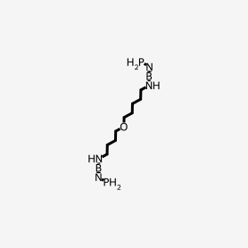 P/N=B/NCCCCCOCCCCN/B=N/P